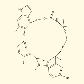 Cn1nc2nc1-c1cc(ccc1F)Oc1c(F)cc3[nH]ccc3c1COC(=O)NC(C)(C)CCCCC2(C)c1cccc(Br)c1